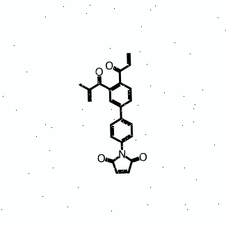 C=CC(=O)c1ccc(-c2ccc(N3C(=O)C=CC3=O)cc2)cc1C(=O)C(=C)C